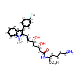 CC(C)n1c(/C=C/[C@H](O)C[C@H](O)CC(=O)N[C@@H](CCCCN)C(=O)O)c(-c2ccc(F)cc2)c2ccccc21